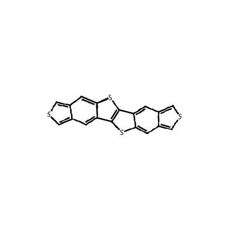 c1scc2cc3c(cc12)sc1c2cc4cscc4cc2sc31